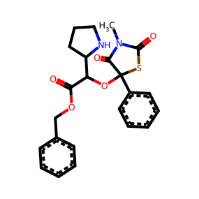 CN1C(=O)SC(OC(C(=O)OCc2ccccc2)C2CCCN2)(c2ccccc2)C1=O